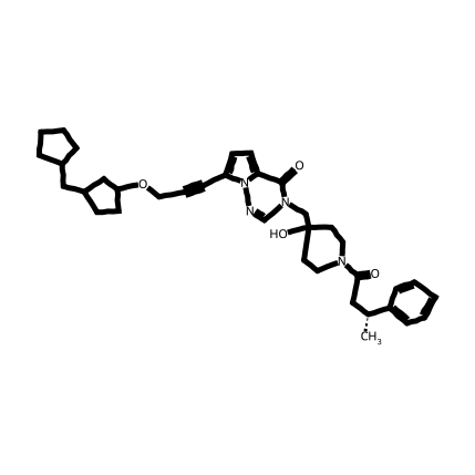 C[C@H](CC(=O)N1CCC(O)(Cn2cnn3c(C#CCOC4CCC(CC5CCCC5)C4)ccc3c2=O)CC1)c1ccccc1